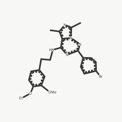 CCOc1ccc(CCNc2nc(-c3ccc(Br)cc3)nn3c(C)nc(C)c23)cc1OC